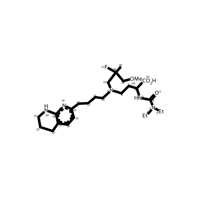 CCN(CC)C(=O)NC(CCN(CCCCc1ccc2c(n1)NCCC2)CC(C)(F)COC)C(=O)O